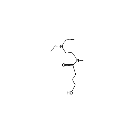 CCN(CC)CCN(C)C(=O)CCCO